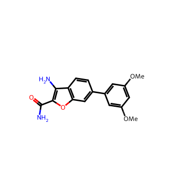 COc1cc(OC)cc(-c2ccc3c(N)c(C(N)=O)oc3c2)c1